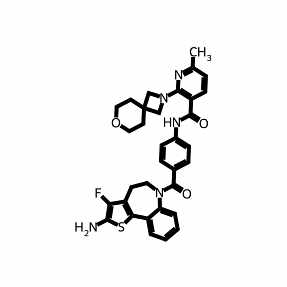 Cc1ccc(C(=O)Nc2ccc(C(=O)N3CCc4c(sc(N)c4F)-c4ccccc43)cc2)c(N2CC3(CCOCC3)C2)n1